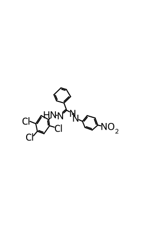 O=[N+]([O-])c1ccc(N=NC(=NNc2cc(Cl)c(Cl)cc2Cl)c2ccccc2)cc1